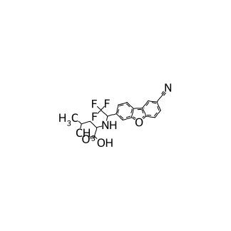 CC(C)CC(NC(c1ccc2c(c1)oc1ccc(C#N)cc12)C(F)(F)F)C(=O)O